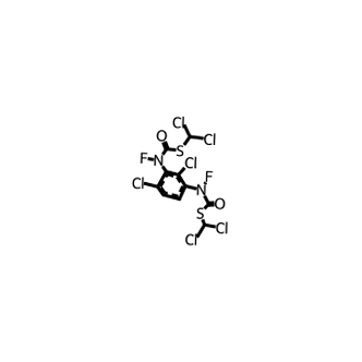 O=C(SC(Cl)Cl)N(F)c1ccc(Cl)c(N(F)C(=O)SC(Cl)Cl)c1Cl